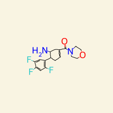 NC1CC(C(=O)N2CCOCC2)=CCC1c1cc(F)c(F)cc1F